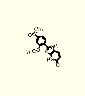 COc1cc([S+](C)[O-])ccc1-c1nc2[nH]c(=O)ccc2[nH]1